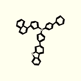 c1ccc(-c2ccc(N(c3ccc(-c4ccc5c(c4)sc4ccccc45)cc3)c3cccc(-c4cccc5ccccc45)c3)cc2)cc1